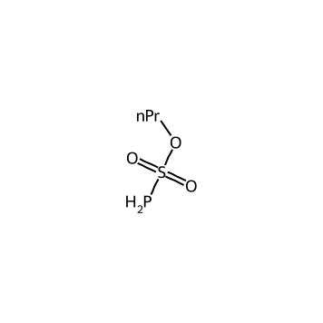 CCCOS(=O)(=O)P